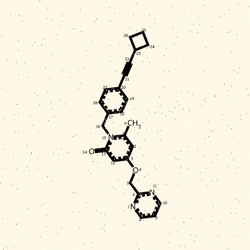 Cc1cc(OCc2ncccn2)cc(=O)n1Cc1ccc(C#CC2CCC2)cc1